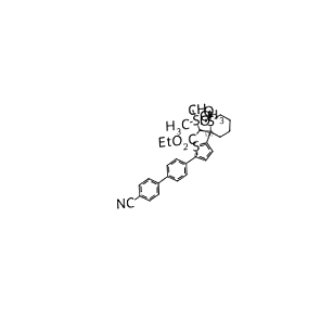 CCOC(=O)C([C@]1(c2ccc(-c3ccc(-c4ccc(C#N)cc4)cc3)s2)CCCCS1(=O)=O)[Si](C)(C)C